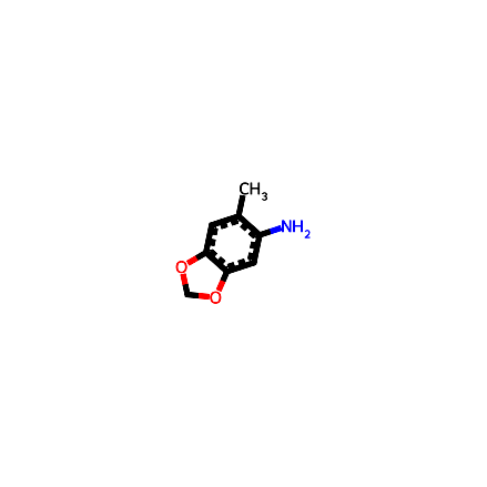 Cc1cc2c(cc1N)OCO2